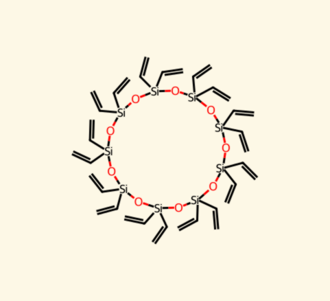 C=C[Si]1(C=C)O[Si](C=C)(C=C)O[Si](C=C)(C=C)O[Si](C=C)(C=C)O[Si](C=C)(C=C)O[Si](C=C)(C=C)O[Si](C=C)(C=C)O[Si](C=C)(C=C)O[Si](C=C)(C=C)O1